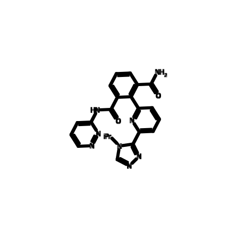 CC(C)n1cnnc1-c1cccc(-c2c(C(N)=O)cccc2C(=O)Nc2cccnn2)n1